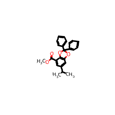 COC(=O)c1cc(C(C)C)cc2c1OC(c1ccccc1)(c1ccccc1)O2